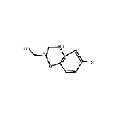 OC[C@H]1CNc2cc(Br)ccc2O1